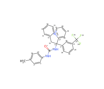 Cc1ccc(NC(=O)NC(Cc2ccccc2)(c2cccc(C(F)(F)F)c2)c2ccccn2)cc1